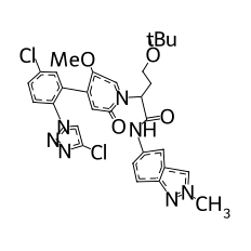 COc1cn(C(CCOC(C)(C)C)C(=O)Nc2ccc3nn(C)cc3c2)c(=O)cc1-c1cc(Cl)ccc1-n1cc(Cl)nn1